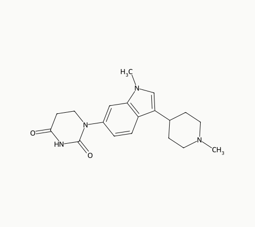 CN1CCC(c2cn(C)c3cc(N4CCC(=O)NC4=O)ccc23)CC1